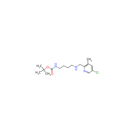 Cc1cc(Cl)cnc1CNCCCCNC(=O)OC(C)(C)C